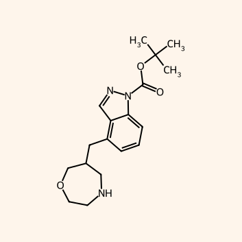 CC(C)(C)OC(=O)n1ncc2c(CC3CNCCOC3)cccc21